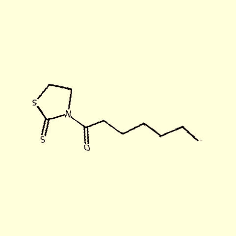 [CH2]CCCCCC(=O)N1CCSC1=S